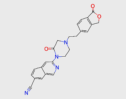 N#Cc1ccc2cc(N3CCN(CCc4ccc5c(c4)COC5=O)CC3=O)ncc2c1